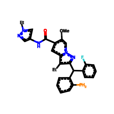 CCc1c(C(c2ccccc2F)c2ccccc2P)nn2cc(OC)c(C(=O)Nc3cnn(CC)c3)cc12